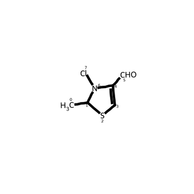 CC1SC=C(C=O)N1Cl